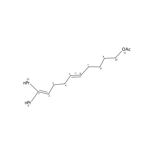 CCCC(=CCC/C=C/CCCCOC(C)=O)CCC